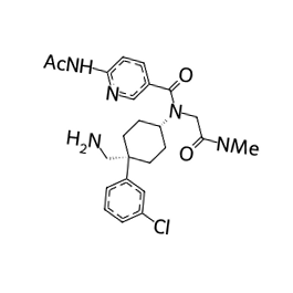 CNC(=O)CN(C(=O)c1ccc(NC(C)=O)nc1)[C@H]1CC[C@](CN)(c2cccc(Cl)c2)CC1